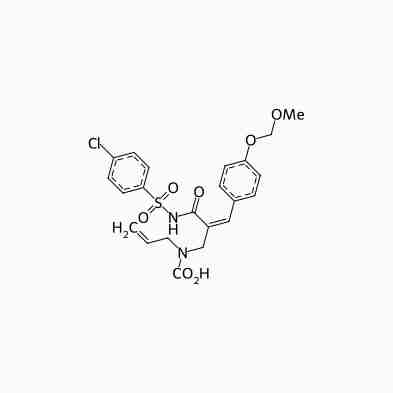 C=CCN(CC(=Cc1ccc(OCOC)cc1)C(=O)NS(=O)(=O)c1ccc(Cl)cc1)C(=O)O